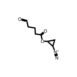 N#[N+]C1CC1OC(=O)CCCC=O